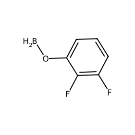 BOc1cccc(F)c1F